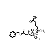 C[Si](C)(CCCC(=O)O)O[Si](C)(C)CCCC(=O)OCc1ccccc1